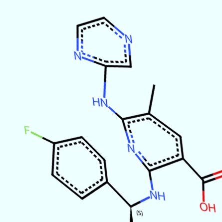 Cc1cc(C(=O)O)c(N[C@@H](C)c2ccc(F)cc2)nc1Nc1cnccn1